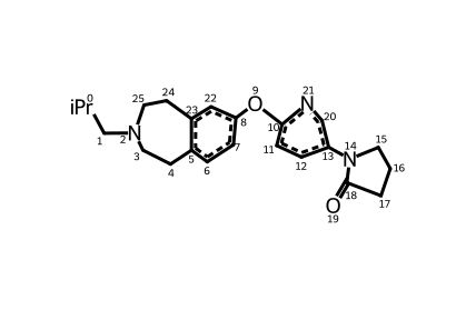 CC(C)CN1CCc2ccc(Oc3ccc(N4CCCC4=O)cn3)cc2CC1